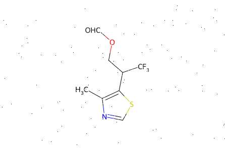 Cc1ncsc1C(COC=O)C(F)(F)F